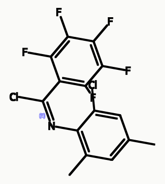 Cc1cc(C)c(/N=C(/Cl)c2c(F)c(F)c(F)c(F)c2F)c(Cl)c1